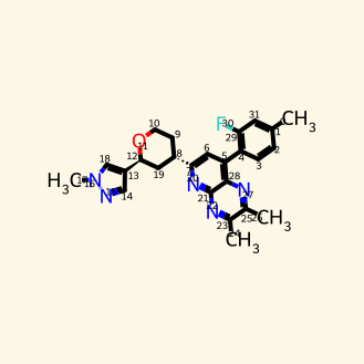 Cc1ccc(-c2cc([C@H]3CCO[C@H](c4cnn(C)c4)C3)nc3nc(C)c(C)nc23)c(F)c1